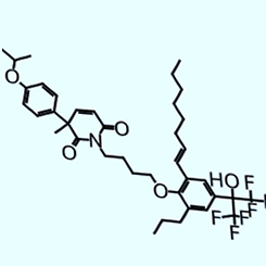 CCCCCC/C=C/c1cc(C(O)(C(F)(F)F)C(F)(F)F)cc(CCC)c1OCCCCN1C(=O)C=CC(C)(c2ccc(OC(C)C)cc2)C1=O